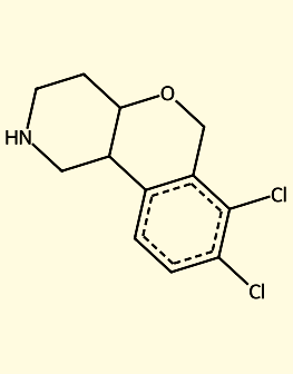 Clc1ccc2c(c1Cl)COC1CCNCC21